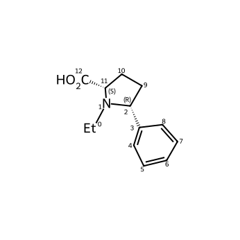 CCN1[C@@H](c2ccccc2)CC[C@H]1C(=O)O